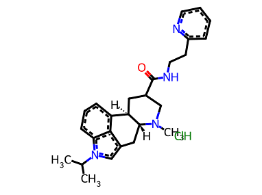 CC(C)n1cc2c3c(cccc31)[C@H]1CC(C(=O)NCCc3ccccn3)CN(C)[C@@H]1C2.Cl